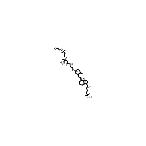 C=C1CC[C@H](OCCNC(=O)CC(C)(N)OCCC(C)(C)OCC=O)C/C1=C/C=C1\CCC[C@]2(C)C([C@H](C)CCCC(C)(C)O)CC[C@@H]12